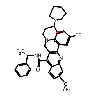 CCCOc1ccc2c(C(=O)N[C@H](c3ccccc3)C(F)(F)F)c(CN3CCC(N4CCCCC4)CC3)c(-c3cccc(C(F)(F)F)c3)nc2c1